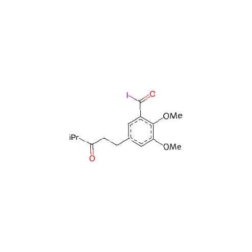 COc1cc(CCC(=O)C(C)C)cc(C(=O)I)c1OC